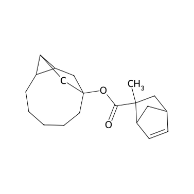 CC1(C(=O)OC23CCCCCC4C(C2)C4C3)CC2C=CC1C2